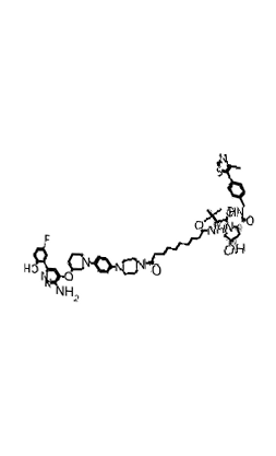 Cc1ncsc1-c1ccc(CNC(=O)[C@@H]2C[C@@H](O)CN2C(=O)[C@@H](NC(=O)CCCCCCCCC(=O)N2CCN(c3ccc(N4CCCC(Oc5cc(-c6cc(F)ccc6O)nnc5N)C4)cc3)CC2)C(C)(C)C)cc1